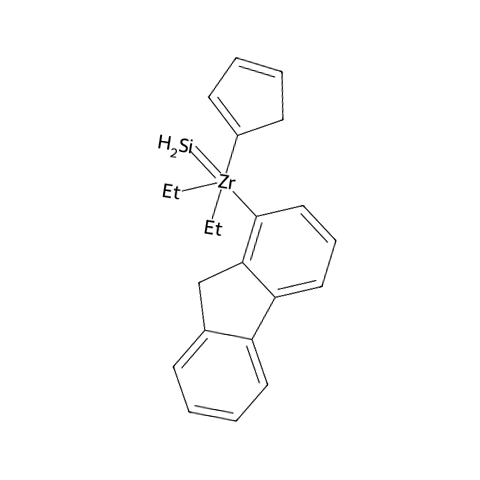 C[CH2][Zr](=[SiH2])([CH2]C)([C]1=CC=CC1)[c]1cccc2c1Cc1ccccc1-2